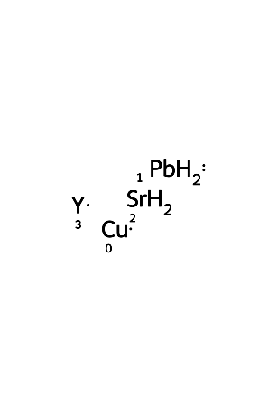 [Cu].[PbH2].[SrH2].[Y]